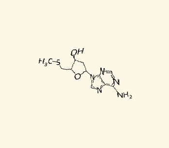 CSCC1OC(n2cnc3c(N)ncnc32)C[C@@H]1O